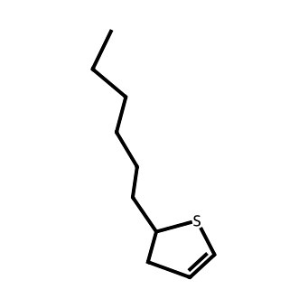 CCCCCCC1CC=CS1